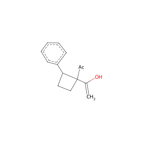 C=C(O)C1(C(C)=O)CCC1c1ccccc1